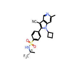 Cc1cc2c(cn1)c(C#N)c(-c1ccc(S(=O)(=O)N[C@H](C)C(F)(F)F)cc1)n2C1CCC1